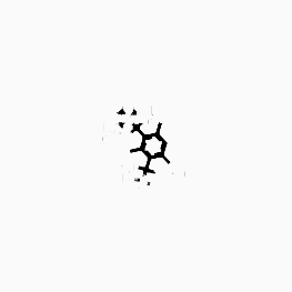 CCCCCCCCC(CCCCCCCC)(c1c(C)cc(C)c(C(CCCCCCCC)(CCCCCCCC)P(=O)(O)O)c1C)P(=O)(O)O